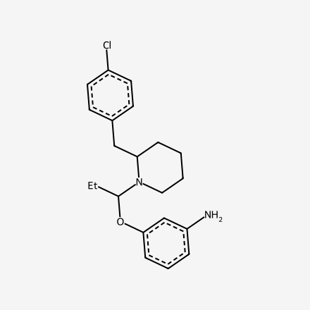 CCC(Oc1cccc(N)c1)N1CCCCC1Cc1ccc(Cl)cc1